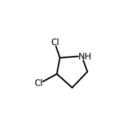 ClC1CCNC1Cl